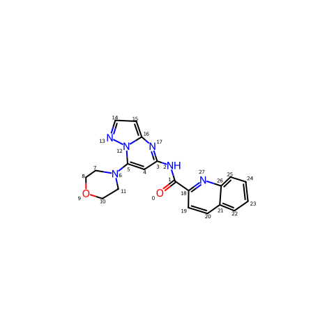 O=C(Nc1cc(N2CCOCC2)n2nccc2n1)c1ccc2ccccc2n1